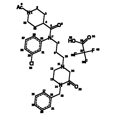 CC(=O)N1CCC(C(=O)N(CCCN2CCN(Cc3ccccc3)C(=O)C2)c2cccc(Cl)c2)CC1.O=C(O)C(F)(F)F